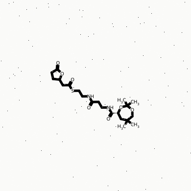 CC1(C)COC(C)(C)O[C@@H](C(=O)NCCC(=O)NCCSC(=O)CC2CCC(=O)O2)C1